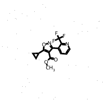 COC(=O)c1c(-c2cccnc2C(F)(F)F)noc1C1CC1